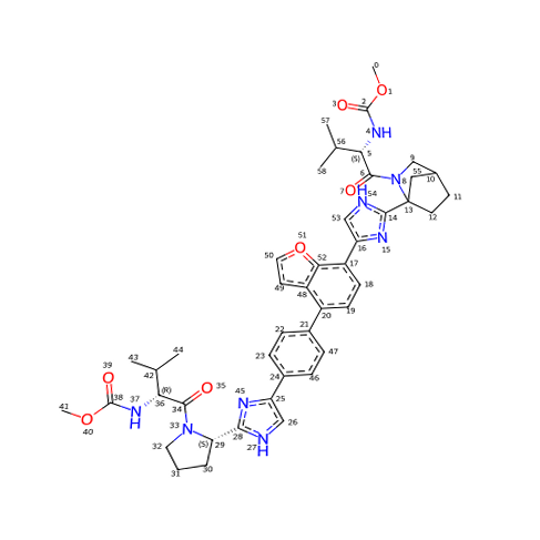 COC(=O)N[C@H](C(=O)N1CC2CCC1(c1nc(-c3ccc(-c4ccc(-c5c[nH]c([C@@H]6CCCN6C(=O)[C@H](NC(=O)OC)C(C)C)n5)cc4)c4ccoc34)c[nH]1)C2)C(C)C